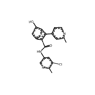 Cc1cc(-c2c(C(=O)Nc3cnc(C)c(Cl)c3)c3cc(O)c2o3)ccn1